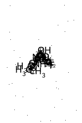 CC(C)(C)OC(=O)Nc1cnc2c(c1)N(S(=O)(=O)c1ccc(F)cc1)CC(O)C2